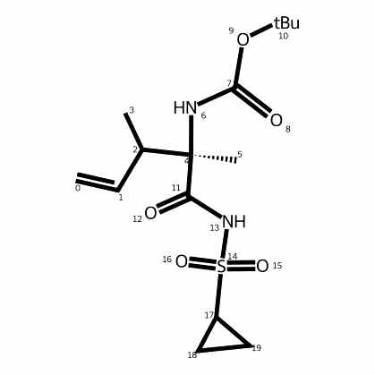 C=CC(C)[C@@](C)(NC(=O)OC(C)(C)C)C(=O)NS(=O)(=O)C1CC1